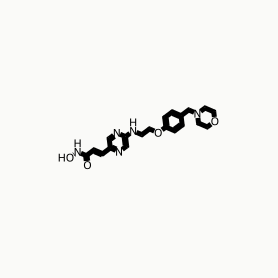 O=C(/C=C/c1cnc(NCCOc2ccc(CN3CCOCC3)cc2)cn1)NO